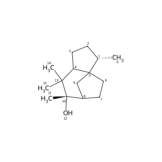 C[C@H]1CCC2C13CCC(C3)[C@](C)(O)C2(C)C